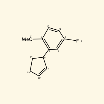 COc1ccc(F)cc1C1C=CCC1